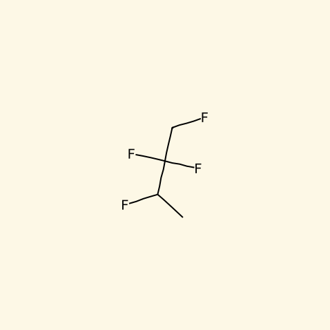 CC(F)C(F)(F)CF